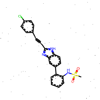 CS(=O)(=O)Nc1ccccc1-c1ccc2[nH]c(C#Cc3ccc(Cl)cc3)nc2c1